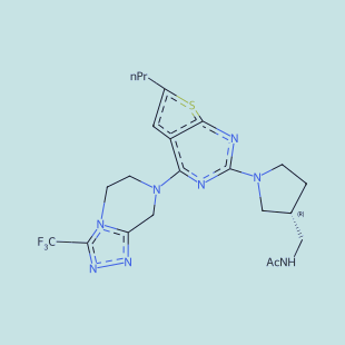 CCCc1cc2c(N3CCn4c(nnc4C(F)(F)F)C3)nc(N3CC[C@H](CNC(C)=O)C3)nc2s1